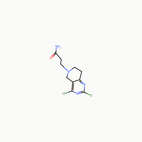 NC(=O)CCN1CCc2nc(Cl)nc(Cl)c2C1